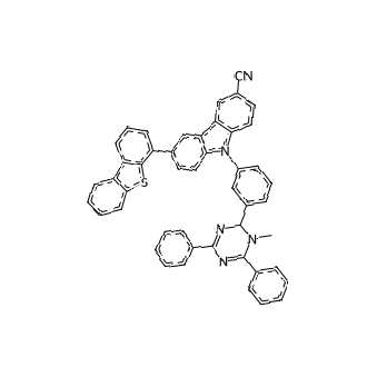 CN1C(c2ccccc2)=NC(c2ccccc2)=NC1c1cccc(-n2c3ccc(C#N)cc3c3cc(-c4cccc5c4sc4ccccc45)ccc32)c1